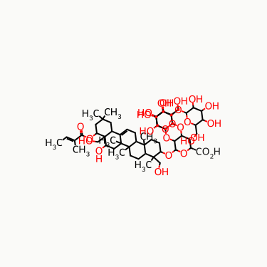 C/C=C(\C)C(=O)OC1CC(C)(C)CC2C3=CCC4C5(C)CCC(OC6OC(C(=O)O)C(O)C(OC7OCC(O)C(O)C7OC7OC(CO)C(O)C(O)C7O)C6OC6OC(CO)C(O)C(O)C6O)C(C)(CO)C5CCC4(C)C3(C)CC(O)C12CO